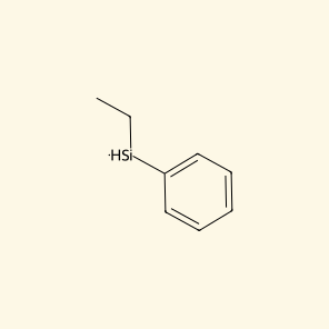 CC[SiH]c1ccccc1